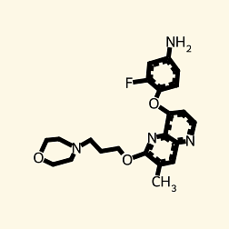 Cc1cc2nccc(Oc3ccc(N)cc3F)c2nc1OCCCN1CCOCC1